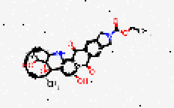 CCOC(=O)N1Cc2cc3c(cc2C1)C(=O)c1c2c(cc(O)c1C3=O)[C@@]13O[C@@]1([C@@H](C)O)[C@H](C#C/C=C\C#C[C@H]3C)N2